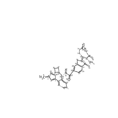 Cn1cc(-c2cccnc2[C@@H](NC(=O)c2ccc3c(c2)CN([C@H]2CCC(=O)NC(=O)C2[SiH3])C3=O)C2CCC2)cn1